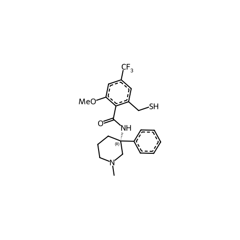 COc1cc(C(F)(F)F)cc(CS)c1C(=O)N[C@@]1(c2ccccc2)CCCN(C)C1